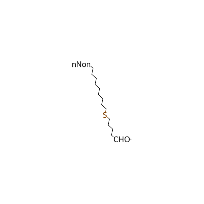 CCCCCCCCCCCCCCCCCCSCCCC[C]=O